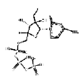 Nc1ccn([C@@H]2O[C@](F)(COP(=O)(O)OP(=O)(O)OP(=O)(O)O)[C@H](O)C2(O)CF)c(=S)n1